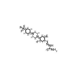 NC(=S)N/N=C/c1cc(F)c(N2CCN(c3ccc(C(F)(F)F)cc3)CC2)cc1F